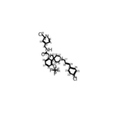 O=C(NCc1ccnc(Cl)c1)N1CC2(CCN(CC=Cc3ccc(Cl)cc3)CC2)c2c(OC(F)(F)F)cccc21